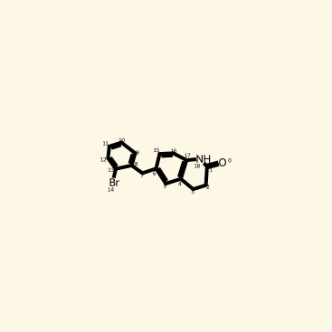 O=C1CCc2cc(Cc3ccccc3Br)ccc2N1